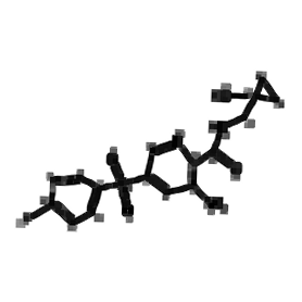 Nc1cc(S(=O)(=O)c2ccc(F)cc2)cnc1C(=O)NCC1(O)CC1